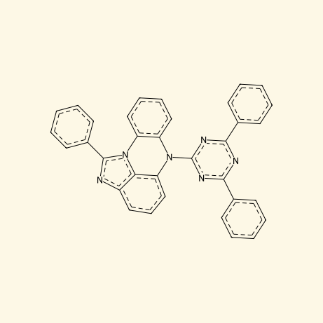 c1ccc(-c2nc(-c3ccccc3)nc(N3c4ccccc4-n4c(-c5ccccc5)nc5cccc3c54)n2)cc1